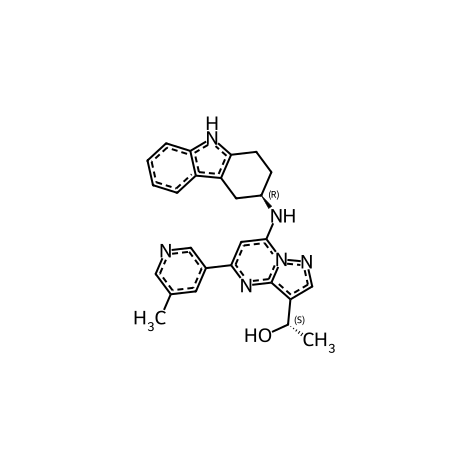 Cc1cncc(-c2cc(N[C@@H]3CCc4[nH]c5ccccc5c4C3)n3ncc([C@H](C)O)c3n2)c1